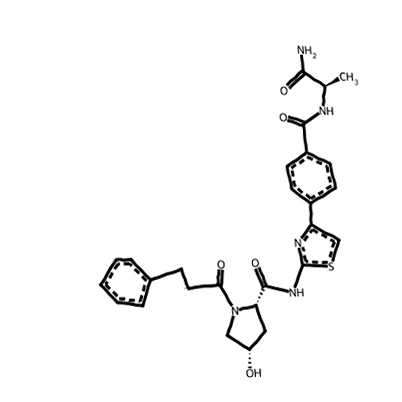 C[C@@H](NC(=O)c1ccc(-c2csc(NC(=O)[C@@H]3C[C@H](O)CN3C(=O)[CH]Cc3ccccc3)n2)cc1)C(N)=O